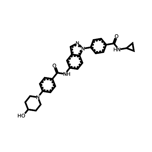 O=C(Nc1ccc2c(cnn2-c2ccc(C(=O)NC3CC3)cc2)c1)c1ccc(N2CCC(O)CC2)cc1